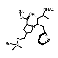 CC[C@H](C(C)NC(C)=O)[C@@H](Cc1ccccc1)N1CC(CO[Si](C)(C)C(C)(C)C)CC1C(=O)OC(C)(C)C